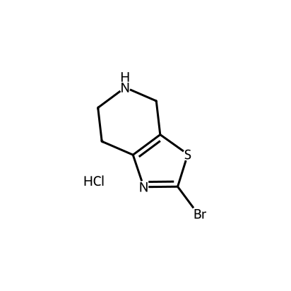 Brc1nc2c(s1)CNCC2.Cl